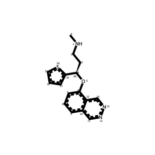 CNCC[C@@H](Oc1cccc2cnncc12)c1cccs1